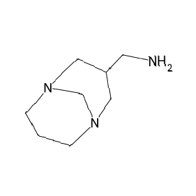 NCC1CN2CCCN(C1)C2